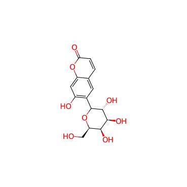 O=c1ccc2cc(C3O[C@H](CO)[C@H](O)[C@H](O)[C@H]3O)c(O)cc2o1